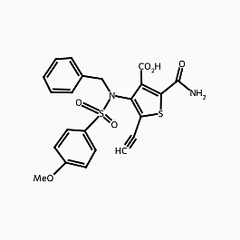 C#Cc1sc(C(N)=O)c(C(=O)O)c1N(Cc1ccccc1)S(=O)(=O)c1ccc(OC)cc1